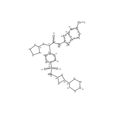 COc1ccc2nc(NC(=O)C(CC3CCCC3)c3ccc(S(=O)(=O)NC4CC(C5CCOCC5)C4)cc3)sc2n1